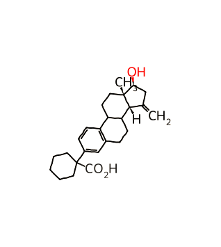 C=C1C[C@H](O)[C@@]2(C)CCC3c4ccc(C5(C(=O)O)CCCCC5)cc4CCC3[C@@H]12